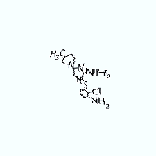 C[C]1CCN(c2cnc(Sc3cccc(N)c3Cl)c(N)n2)CC1